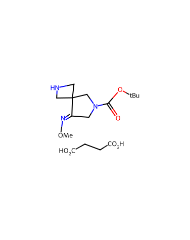 CON=C1CN(C(=O)OC(C)(C)C)CC12CNC2.O=C(O)CCC(=O)O